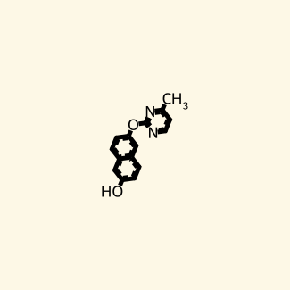 Cc1ccnc(Oc2ccc3cc(O)ccc3c2)n1